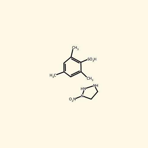 Cc1cc(C)c(S(=O)(=O)O)c(C)c1.O=[N+]([O-])N1CCNN1